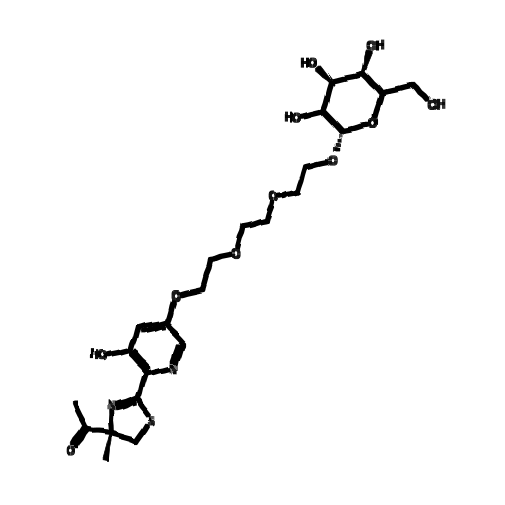 CC(=O)[C@@]1(C)CSC(c2ncc(OCCOCCOCCO[C@H]3OC(CO)[C@H](O)[C@H](O)C3O)cc2O)=N1